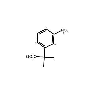 CCOC(=O)C(C)(C)c1cccc([N+](=O)[O-])c1